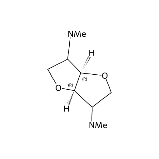 CNC1CO[C@@H]2C(NC)CO[C@H]12